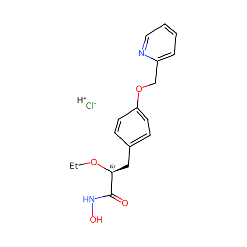 CCO[C@@H](Cc1ccc(OCc2ccccn2)cc1)C(=O)NO.[Cl-].[H+]